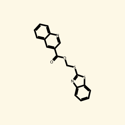 O=C(OCSc1nc2ccccc2s1)c1cnc2ccccc2c1